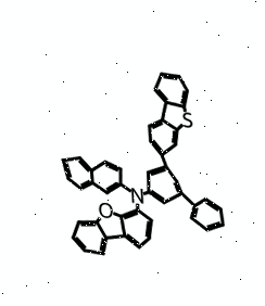 c1ccc(-c2cc(-c3ccc4c(c3)sc3ccccc34)cc(N(c3ccc4ccccc4c3)c3cccc4c3oc3ccccc34)c2)cc1